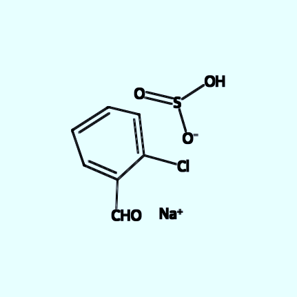 O=Cc1ccccc1Cl.O=S([O-])O.[Na+]